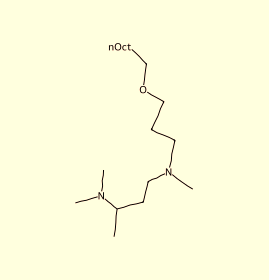 CCCCCCCCCOCCCN(C)CCC(C)N(C)C